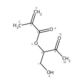 C=C(C)C(=O)OC(CO)C(C)=O